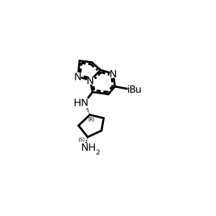 CCC(C)c1cc(N[C@@H]2CC[C@H](N)C2)n2nccc2n1